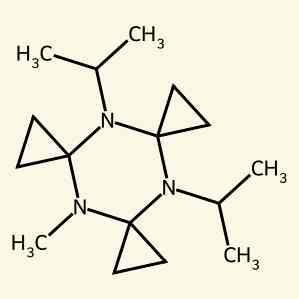 CC(C)N1C2(CC2)N(C)C2(CC2)N(C(C)C)C12CC2